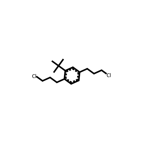 CC(C)(C)c1cc(CCCCl)ccc1CCCCl